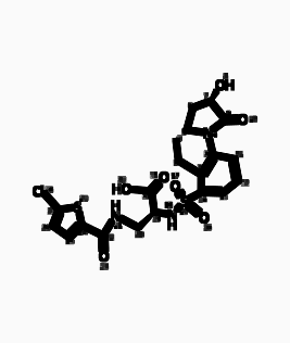 CCc1c(N2CC[C@@H](O)C2=O)cccc1S(=O)(=O)N[C@@H](CNC(=O)c1ccc(Cl)s1)C(=O)O